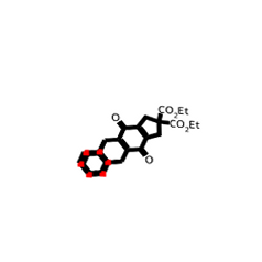 CCOC(=O)C1(C(=O)OCC)CC2=C(C1)C(=O)C1=C(C2=O)C2c3c#cccc3C1c1ccccc12